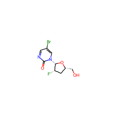 O=c1ncc(Br)cn1[C@@H]1O[C@H](CO)C[C@@H]1F